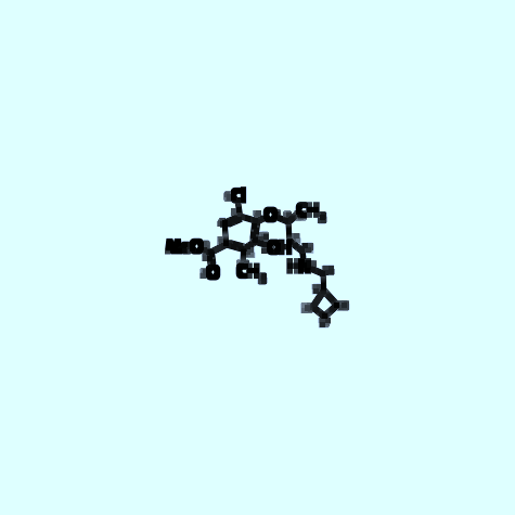 COC(=O)c1cc(Cl)c(OC(C)CCNCC2CCC2)c(O)c1C